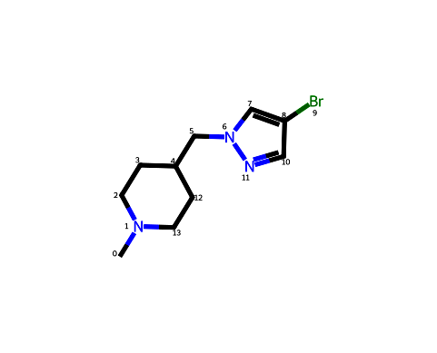 CN1CCC(Cn2cc(Br)cn2)CC1